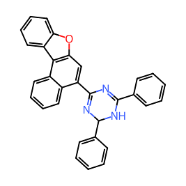 c1ccc(C2=NC(c3cc4oc5ccccc5c4c4ccccc34)=NC(c3ccccc3)N2)cc1